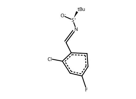 CC(C)(C)[S@+]([O-])N=Cc1ccc(F)cc1Cl